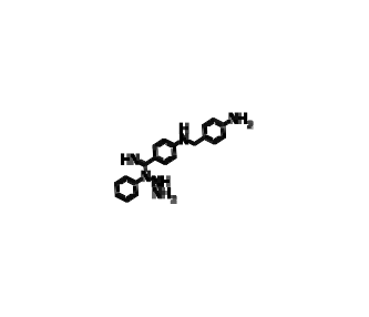 N=C(c1ccc(NCc2ccc(N)cc2)cc1)N(NN)c1ccccc1